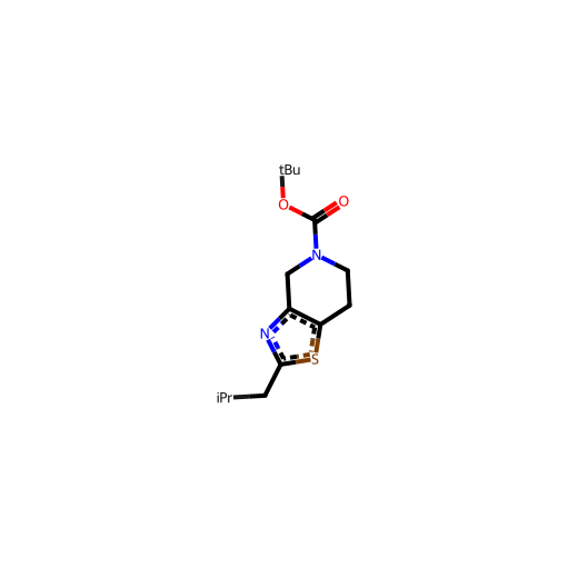 CC(C)Cc1nc2c(s1)CCN(C(=O)OC(C)(C)C)C2